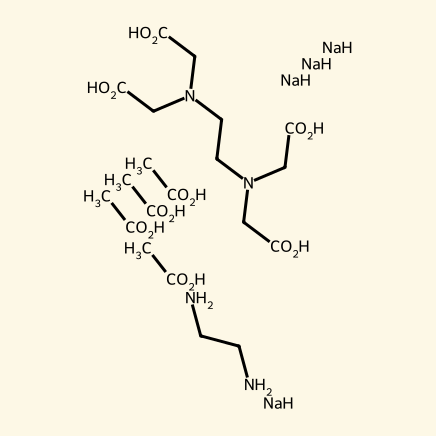 CC(=O)O.CC(=O)O.CC(=O)O.CC(=O)O.NCCN.O=C(O)CN(CCN(CC(=O)O)CC(=O)O)CC(=O)O.[NaH].[NaH].[NaH].[NaH]